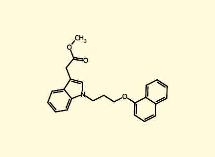 COC(=O)Cc1cn(CCCOc2cccc3ccccc23)c2ccccc12